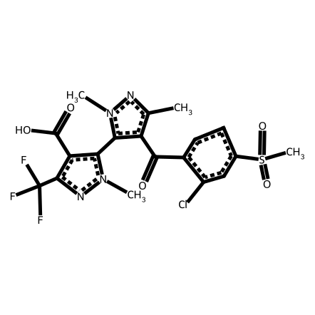 Cc1nn(C)c(-c2c(C(=O)O)c(C(F)(F)F)nn2C)c1C(=O)c1ccc(S(C)(=O)=O)cc1Cl